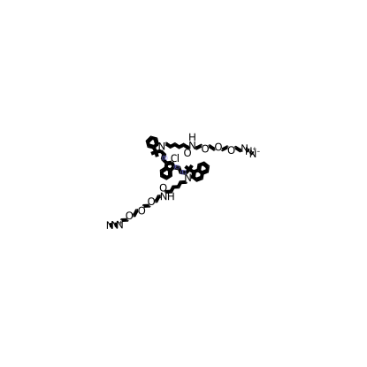 CC1(C)C(/C=C/C2=C(Cl)C(=C/C=C3/N(CCCCCC(=O)NCCOCCOCCOCCN=[N+]=[N-])c4ccc5ccccc5c4C3(C)C)/c3ccccc32)=[N+](CCCCCC(=O)NCCOCCOCCOCCN=[N+]=[N-])c2ccccc21